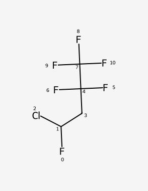 FC(Cl)CC(F)(F)C(F)(F)F